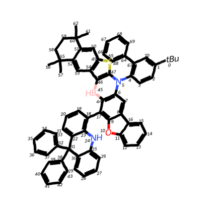 CC(C)(C)c1ccc(N2c3cc4c(oc5ccccc54)c(-c4cccc5c4Nc4ccccc4C5(c4ccccc4)c4ccccc4)c3Bc3c2sc2cc4c(cc32)C(C)(C)CCC4(C)C)c(-c2ccccc2)c1